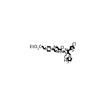 CCOC(=O)CCN1CCN(c2cnc(C(=O)Nc3nc(-c4cc(Cl)cs4)c(CN4CCC[C@H]4C)s3)cn2)CC1